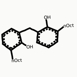 CCCCCCCCc1cccc(Cc2cccc(CCCCCCCC)c2O)c1O